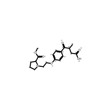 COC(=O)C1CCCN1CCOc1ccc(C(=O)C(C)CC(=O)O)cc1